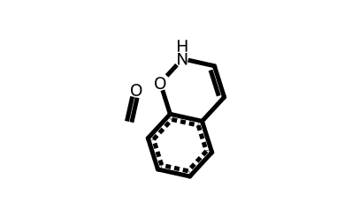 C1=Cc2ccccc2ON1.C=O